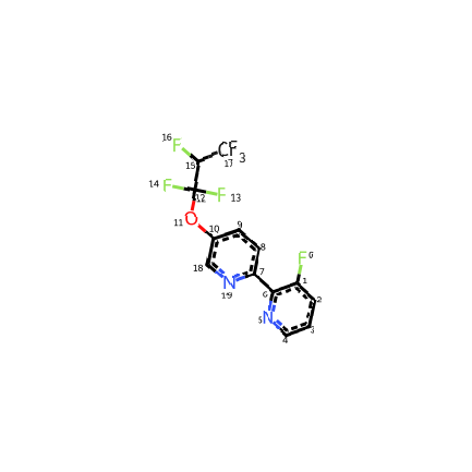 Fc1cccnc1-c1ccc(OC(F)(F)C(F)C(F)(F)F)cn1